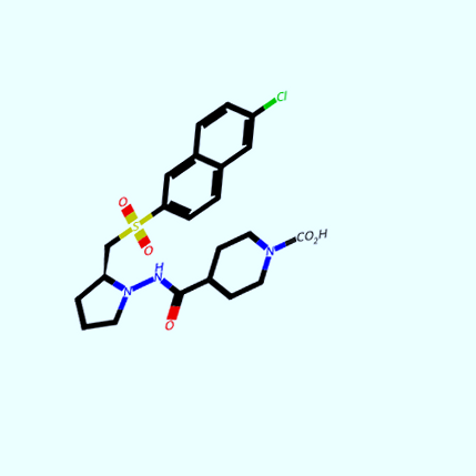 O=C(NN1CCC[C@H]1CS(=O)(=O)c1ccc2cc(Cl)ccc2c1)C1CCN(C(=O)O)CC1